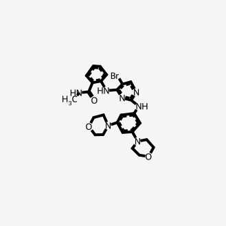 CNC(=O)c1ccccc1Nc1nc(Nc2cc(N3CCOCC3)cc(N3CCOCC3)c2)ncc1Br